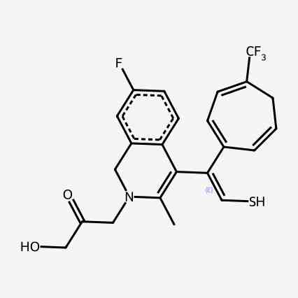 CC1=C(/C(=C/S)C2=CC=C(C(F)(F)F)CC=C2)c2ccc(F)cc2CN1CC(=O)CO